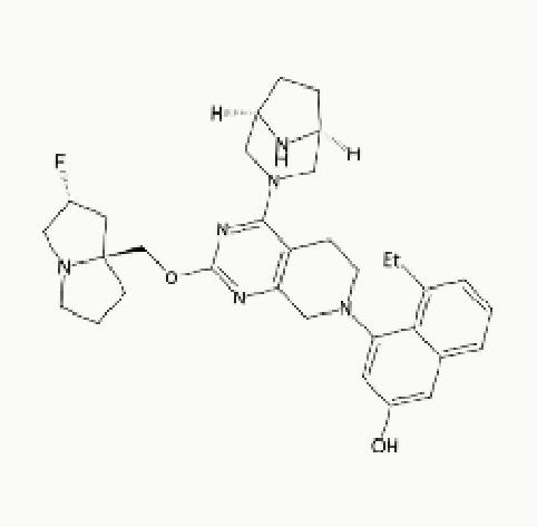 CCc1cccc2cc(O)cc(N3CCc4c(nc(OC[C@@]56CCCN5C[C@H](F)C6)nc4N4C[C@H]5CC[C@@H](C4)N5)C3)c12